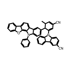 CC1C=C(C#N)C=C(n2c3ccccc3c3cc(C#N)ccc32)C1c1ccc2c(c1)c1ccc3c4ccccc4oc3c1n2-c1ccccc1